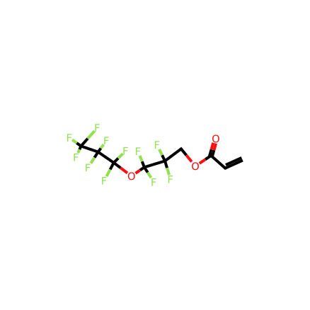 C=CC(=O)OCC(F)(F)C(F)(F)OC(F)(F)C(F)(F)C(F)(F)F